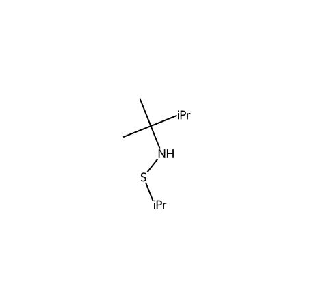 CC(C)SNC(C)(C)C(C)C